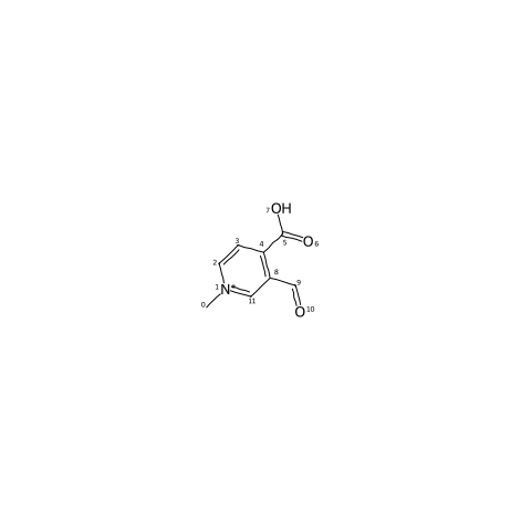 C[n+]1ccc(C(=O)O)c(C=O)c1